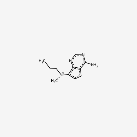 CCC[C@@H](C)c1ccc2c(N)ncnn12